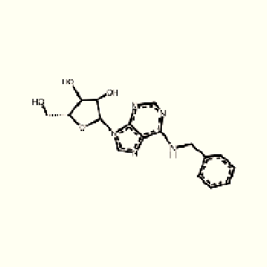 OC[C@H]1OC(n2cnc3c(NCc4ccccc4)ncnc32)C(O)C1O